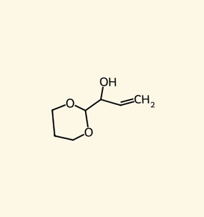 C=CC(O)C1OCCCO1